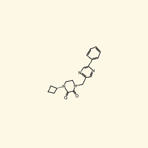 O=C1C(=O)N(C2CCC2)CCN1Cc1cnc(-c2ccccc2)cn1